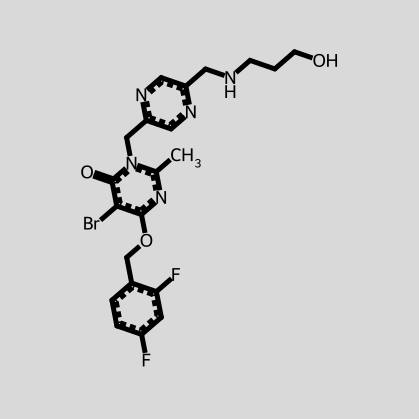 Cc1nc(OCc2ccc(F)cc2F)c(Br)c(=O)n1Cc1cnc(CNCCCO)cn1